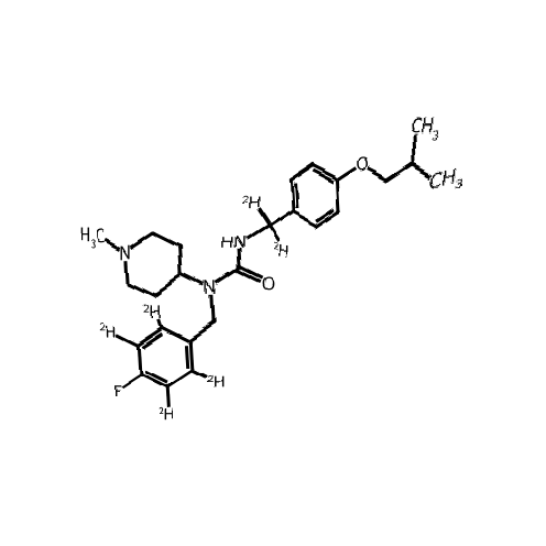 [2H]c1c([2H])c(CN(C(=O)NC([2H])([2H])c2ccc(OCC(C)C)cc2)C2CCN(C)CC2)c([2H])c([2H])c1F